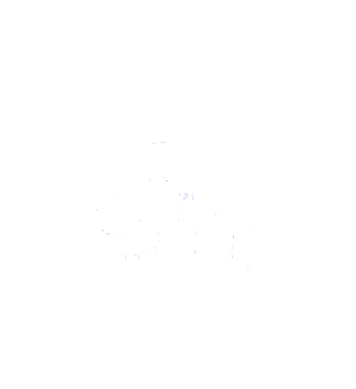 Fc1ccc(C2Nc3ccccc3-c3cnnc4[nH]cc2c34)c(F)c1F